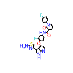 Nc1nc(-c2c[nH]c3nccc(Oc4ccc(NC(=O)c5cccn(-c6ccc(F)cc6)c5=O)cc4F)c23)cs1